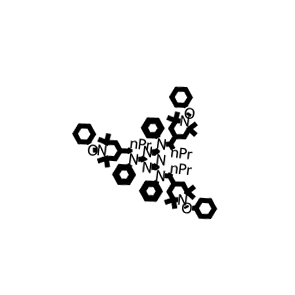 CCCC(C1CC(C)(C)N(OC2CCCCC2)C(C)(C)C1)N(c1ccccc1)c1nc(N(c2ccccc2)C(CCC)C2CC(C)(C)N(OC3CCCCC3)C(C)(C)C2)nc(N(c2ccccc2)C(CCC)C2CC(C)(C)N(OC3CCCCC3)C(C)(C)C2)n1